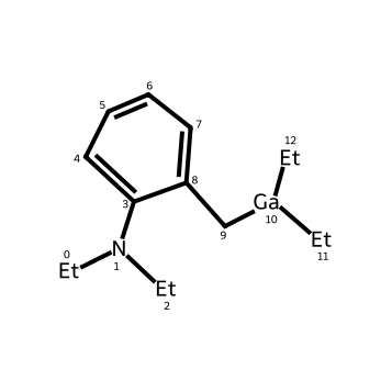 CCN(CC)c1ccccc1[CH2][Ga]([CH2]C)[CH2]C